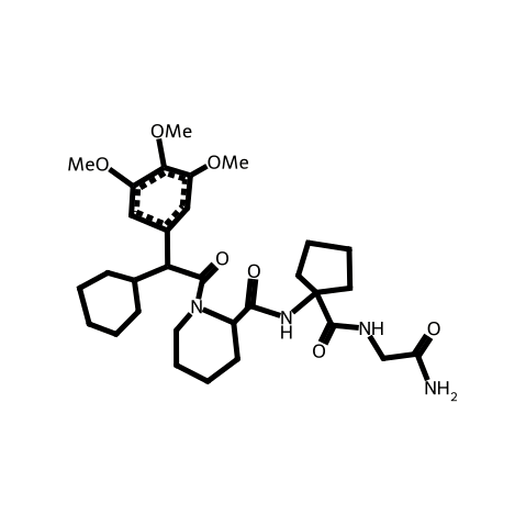 COc1cc(C(C(=O)N2CCCCC2C(=O)NC2(C(=O)NCC(N)=O)CCCC2)C2CCCCC2)cc(OC)c1OC